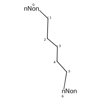 CCCCCCCCC[CH]C[CH]CCCCCCCCCCC